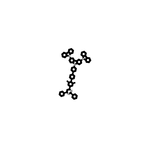 Cc1cc(-c2cc(-c3ccccc3)nc(-c3ccccc3)n2)cc(C)c1-c1ccc(-c2ccc(-n3c4ccc(-n5c6ccccc6c6ccccc65)cc4c4cc(-n5c6ccccc6c6ccccc65)ccc43)cc2)cc1